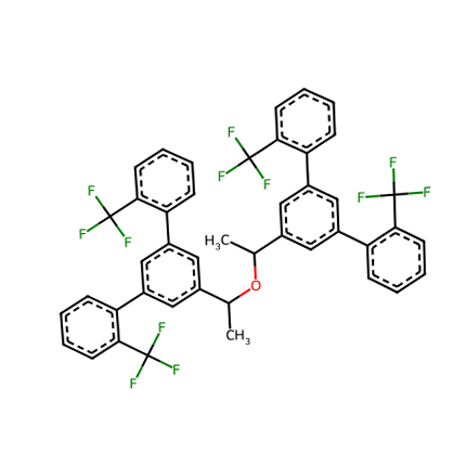 CC(OC(C)c1cc(-c2ccccc2C(F)(F)F)cc(-c2ccccc2C(F)(F)F)c1)c1cc(-c2ccccc2C(F)(F)F)cc(-c2ccccc2C(F)(F)F)c1